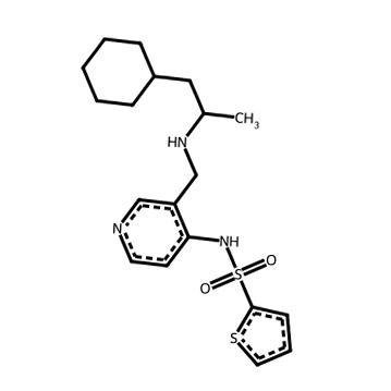 CC(CC1CCCCC1)NCc1cnccc1NS(=O)(=O)c1cccs1